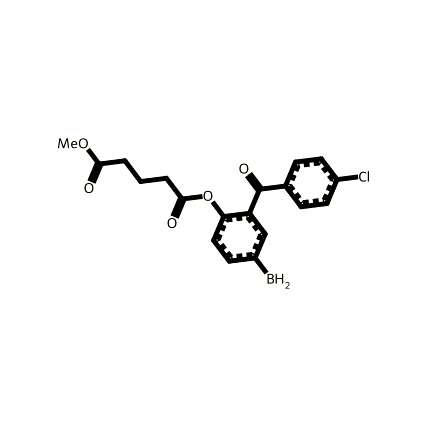 Bc1ccc(OC(=O)CCCC(=O)OC)c(C(=O)c2ccc(Cl)cc2)c1